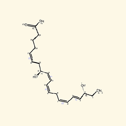 CC[C@@H](O)/C=C/C=C\C/C=C\C=C/[C@@H](O)C/C=C\CCCC(=O)O